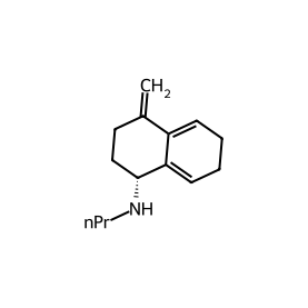 C=C1CC[C@@H](NCCC)C2=CCCC=C12